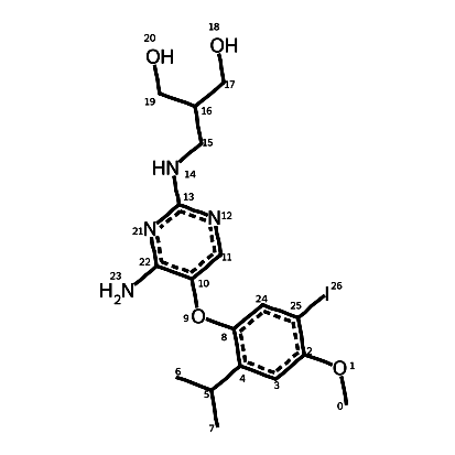 COc1cc(C(C)C)c(Oc2cnc(NCC(CO)CO)nc2N)cc1I